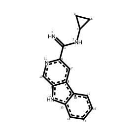 N=C(NC1CC1)c1cc2c(cn1)[nH]c1ccccc12